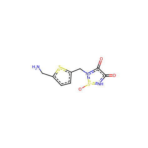 NCc1ccc(Cn2c(=O)c(=O)[nH][s+]2[O-])s1